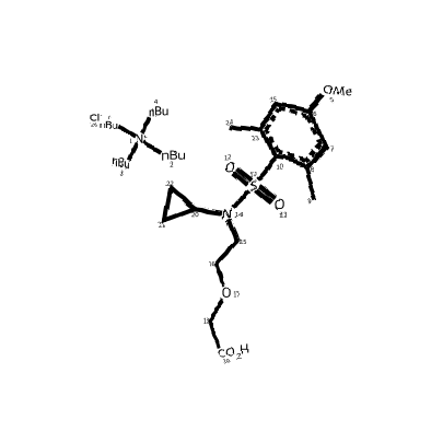 CCCC[N+](CCCC)(CCCC)CCCC.COc1cc(C)c(S(=O)(=O)N(CCOCC(=O)O)C2CC2)c(C)c1.[Cl-]